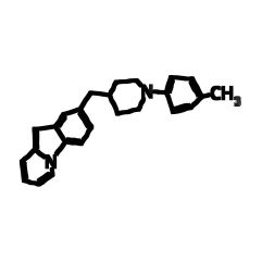 Cc1ccc(N2CCC(Cc3ccc4c(c3)cc3ccccn34)CC2)cc1